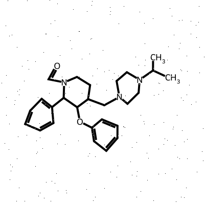 CC(C)N1CCN(CC2CCN(C=O)C(c3ccccc3)C2Oc2ccccc2)CC1